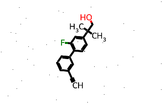 C#Cc1cccc(-c2[c]cc(C(C)(C)CO)cc2F)c1